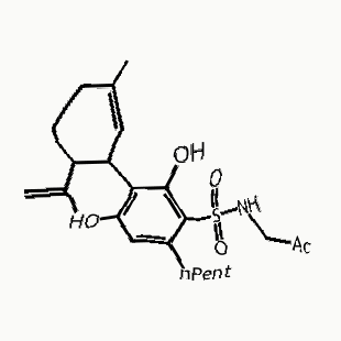 C=C(C)C1CCC(C)=CC1c1c(O)cc(CCCCC)c(S(=O)(=O)NCC(C)=O)c1O